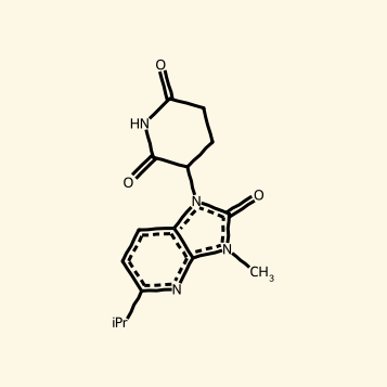 CC(C)c1ccc2c(n1)n(C)c(=O)n2C1CCC(=O)NC1=O